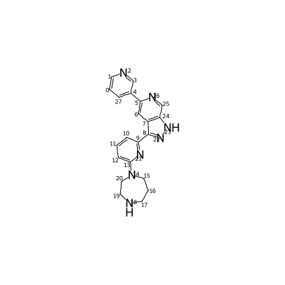 c1cncc(-c2cc3c(-c4cccc(N5CCCNCC5)n4)n[nH]c3cn2)c1